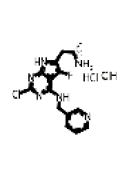 C[C@H](N)Cc1[nH]c2nc(Cl)nc(NCc3cccnc3)c2c1F.Cl.Cl